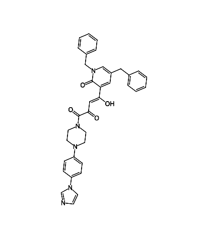 O=C(C=C(O)c1cc(Cc2ccccc2)cn(Cc2ccccc2)c1=O)C(=O)N1CCN(c2ccc(-n3ccnc3)cc2)CC1